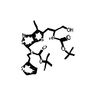 Cc1c(CC(CO)NC(=O)OC(C)(C)C)sc2c(N(Cc3cccs3)C(=O)OC(C)(C)C)snc12